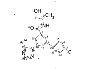 CC(CO)NC(=O)c1cc(-c2ccc(Cl)cc2)cc(-n2nnnc2C(C)C)c1